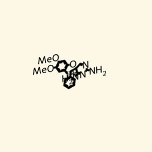 COc1cc(OC2(Cc3ccccc3)C=NC(N)N=C2N)c(C(C)C)cc1OC